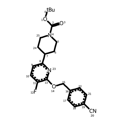 CC(C)(C)OC(=O)N1CCC(c2ccc(F)c(OCc3ccc(C#N)cc3)n2)CC1